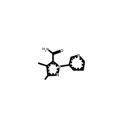 Cc1nn(-c2cccnc2)c(C(N)=O)c1C